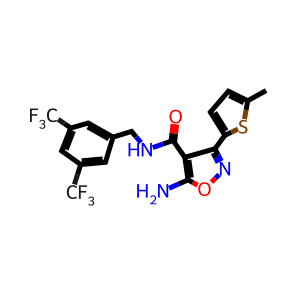 Cc1ccc(-c2noc(N)c2C(=O)NCc2cc(C(F)(F)F)cc(C(F)(F)F)c2)s1